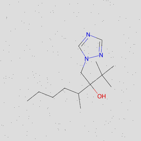 CCCCC(C)C(O)(Cn1cncn1)C(C)(C)C